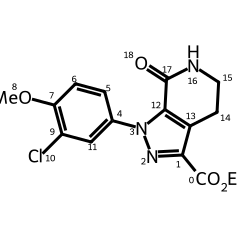 CCOC(=O)c1nn(-c2ccc(OC)c(Cl)c2)c2c1CCNC2=O